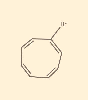 BrC1=CC=CC=CC=C1